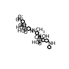 Cc1cc(N=Nc2c(S(=O)(=O)O)cc3cc(Nc4ccccc4)ccc3c2O)c(C)cc1N=Nc1ccc(C=Cc2ccc([N+](=O)[O-])cc2S(=O)(=O)O)c(S(=O)(=O)O)c1